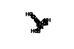 O=C(O)Cn1cnc2c(-c3ccnc4[nH]ccc34)nc(N3CCN(c4ccc(O)cc4)CC3)nc21